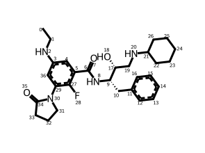 CCNc1cc(C(=O)N[C@@H](Cc2ccccc2)[C@H](O)CNC2CCCCC2)c(F)c(N2CCCC2=O)c1